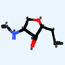 COCC1OCC(NC(C)(C)C)C1=O